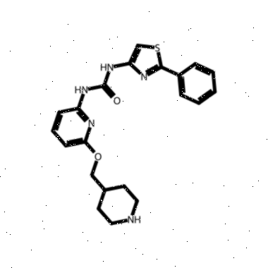 O=C(Nc1cccc(OCC2CCNCC2)n1)Nc1csc(-c2ccccc2)n1